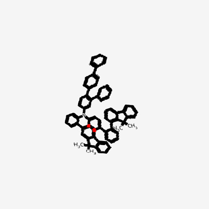 CC1(C)c2ccccc2-c2ccc(-c3ccccc3N(c3ccc(-c4ccccc4-c4cccc5c4C(C)(C)c4ccccc4-5)cc3)c3ccc(-c4ccc(-c5ccccc5)cc4)c(-c4ccccc4)c3)cc21